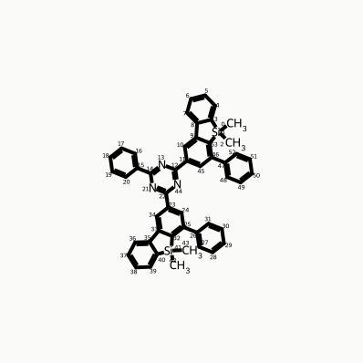 C[Si]1(C)c2ccccc2-c2cc(-c3nc(-c4ccccc4)nc(-c4cc(-c5ccccc5)c5c(c4)-c4ccccc4[Si]5(C)C)n3)cc(-c3ccccc3)c21